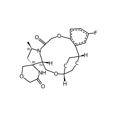 C[C@@H]1C[C@]2(COCC(=O)N2)[C@H]2CO[C@H]3CC[C@H](CC3)c3cc(F)ccc3OCC(=O)N12